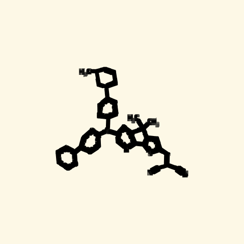 CC1C=CC=C(c2ccc(N(c3ccc(-c4ccccc4)cc3)c3cnc4c(c3)C(C)(C)c3cc(C=C(C#N)C#N)sc3-4)cc2)C1